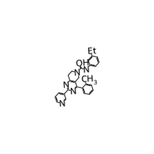 CCc1cccc(NC(=O)N2CCc3nc(-c4cccnc4)nc(-c4ccccc4C)c3C2)c1